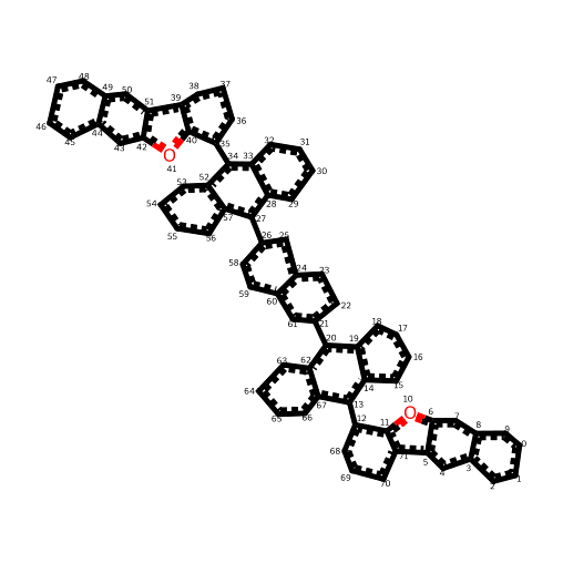 c1ccc2cc3c(cc2c1)oc1c(-c2c4ccccc4c(-c4ccc5cc(-c6c7ccccc7c(-c7cccc8c7oc7cc9ccccc9cc78)c7ccccc67)ccc5c4)c4ccccc24)cccc13